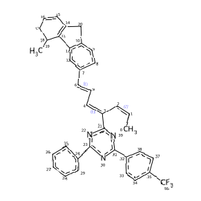 C\C=C/C(=C\C=C\c1ccc2c(c1)C1=C(C=CCC1C)C2)c1nc(-c2ccccc2)nc(-c2ccc(C(F)(F)F)cc2)n1